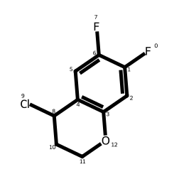 Fc1cc2c(cc1F)C(Cl)CCO2